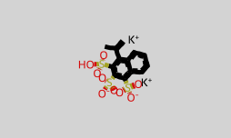 C=C(C)c1c(S(=O)(=O)O)c(S(=O)(=O)[O-])c(S(=O)(=O)[O-])c2ccccc12.[K+].[K+]